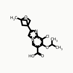 CC(C)Oc1c(C(=O)O)cn2cc(C34COC(C)(C3)C4)nc2c1Cl